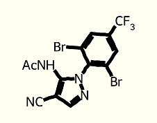 CC(=O)Nc1c(C#N)cnn1-c1c(Br)cc(C(F)(F)F)cc1Br